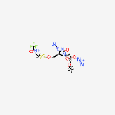 CN(C)/C=N/c1nc(=O)n([C@H]2CC(OCN=[N+]=[N-])[C@@H](CO[Si](C)(C)C(C)(C)C)O2)cc1C#CCOCSSC(C)(C)CNC(=O)C(F)(F)F